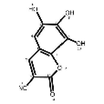 N#Cc1cc2cc(O)c(O)c(O)c2oc1=O